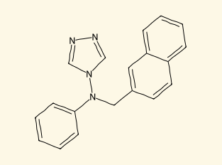 c1ccc(N(Cc2ccc3ccccc3c2)n2cnnc2)cc1